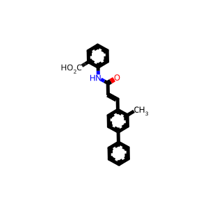 Cc1cc(-c2ccccc2)ccc1C=CC(=O)Nc1ccccc1C(=O)O